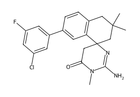 CN1C(=O)CC2(CC(C)(C)Cc3ccc(-c4cc(F)cc(Cl)c4)cc32)N=C1N